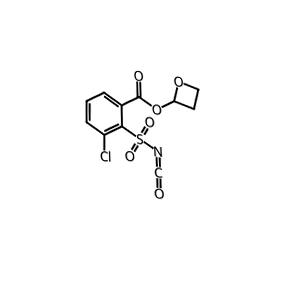 O=C=NS(=O)(=O)c1c(Cl)cccc1C(=O)OC1CCO1